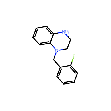 Fc1ccccc1CN1CCNc2ccccc21